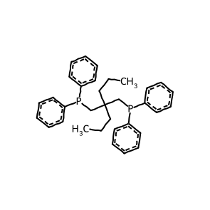 CCCC(CCC)(CP(c1ccccc1)c1ccccc1)CP(c1ccccc1)c1ccccc1